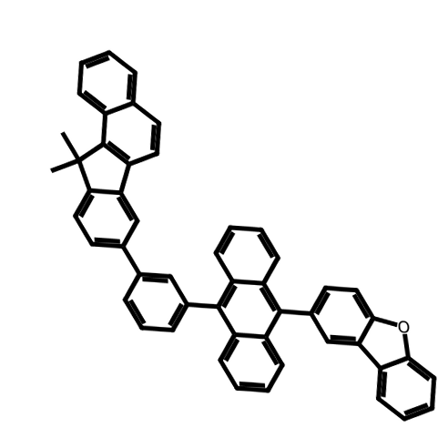 CC1(C)c2ccc(-c3cccc(-c4c5ccccc5c(-c5ccc6oc7ccccc7c6c5)c5ccccc45)c3)cc2-c2ccc3ccccc3c21